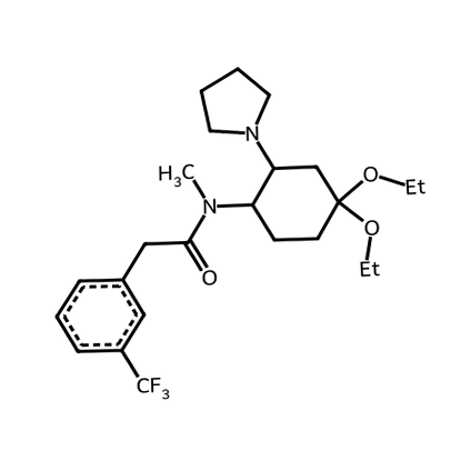 CCOC1(OCC)CCC(N(C)C(=O)Cc2cccc(C(F)(F)F)c2)C(N2CCCC2)C1